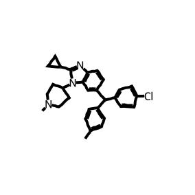 Cc1ccc(C(c2ccc(Cl)cc2)c2ccc3nc(C4CC4)n(C4CCN(C)CC4)c3c2)cc1